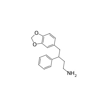 NCCC(Cc1ccc2c(c1)OCO2)c1ccccc1